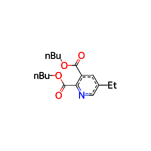 CCCCOC(=O)c1cc(CC)cnc1C(=O)OCCCC